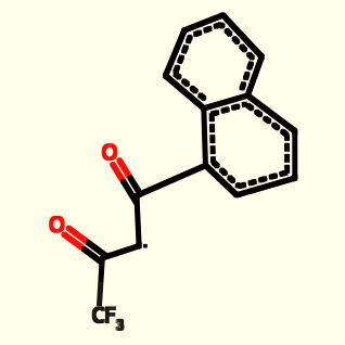 O=C([CH]C(=O)C(F)(F)F)c1cccc2ccccc12